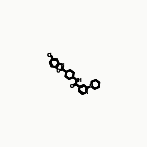 O=C(NC1CCC(c2nc3cc(Cl)ccc3o2)CC1)c1ccnc(N2CCCCC2)c1